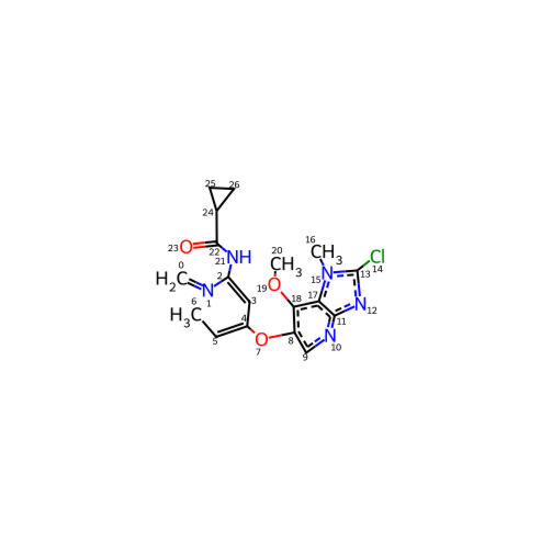 C=N/C(=C\C(=C/C)Oc1cnc2nc(Cl)n(C)c2c1OC)NC(=O)C1CC1